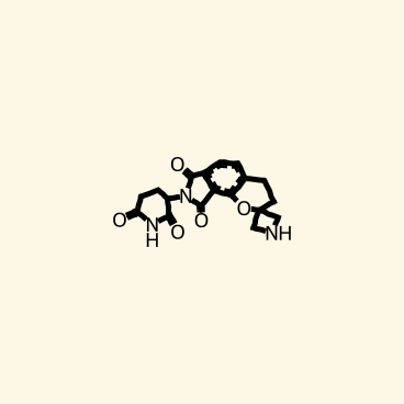 O=C1CCC(N2C(=O)c3ccc4c(c3C2=O)OC2(CC4)CNC2)C(=O)N1